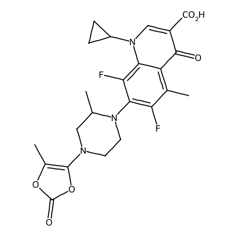 Cc1oc(=O)oc1N1CCN(c2c(F)c(C)c3c(=O)c(C(=O)O)cn(C4CC4)c3c2F)C(C)C1